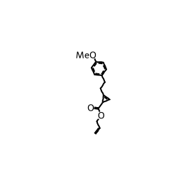 C=CCOC(=O)C1C=C1CCc1ccc(OC)cc1